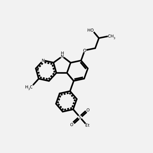 CCS(=O)(=O)c1cccc(C2=CC=C(OCC(C)O)C3Nc4ncc(C)cc4C23)c1